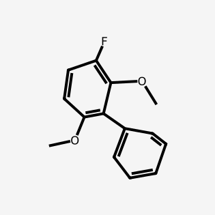 COc1ccc(F)c(OC)c1-c1ccccc1